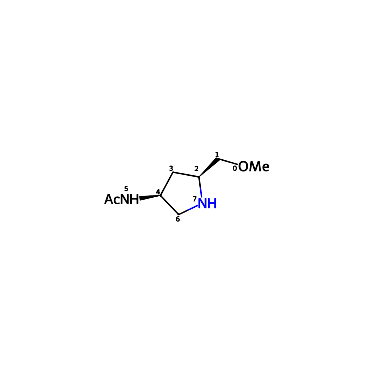 COC[C@@H]1C[C@H](NC(C)=O)CN1